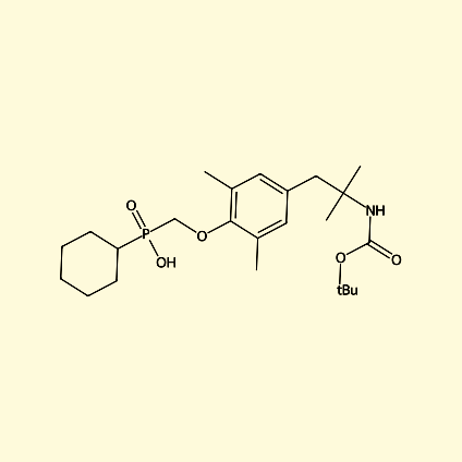 Cc1cc(CC(C)(C)NC(=O)OC(C)(C)C)cc(C)c1OCP(=O)(O)C1CCCCC1